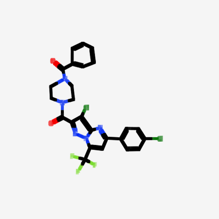 O=C(c1ccccc1)N1CCN(C(=O)c2nn3c(C(F)(F)F)cc(-c4ccc(Cl)cc4)nc3c2Cl)CC1